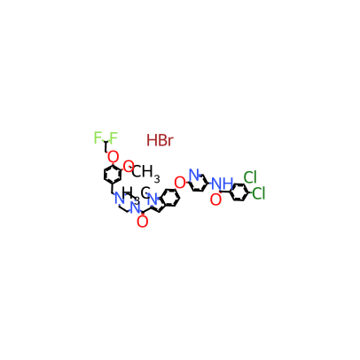 Br.COc1cc(CN2CCN(C(=O)c3cc4ccc(Oc5ccc(NC(=O)c6ccc(Cl)c(Cl)c6)cn5)cc4n3C)CC2)ccc1OCC(F)F